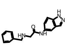 O=C(CNCc1ccccc1)Nc1ccc2[nH]ncc2c1